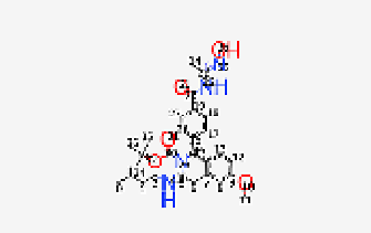 CCCCN[C@H]1Cc2cc(OC)ccc2[C@H](c2ccc(C(=O)N/C(C)=N/O)cc2)N1C(=O)OC(C)(C)C